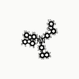 c1ccc2c(c1)-c1ccccc1C21c2ccccc2-c2ccc(-c3nc(-c4ccc(-c5cccc6ccccc56)cc4)nc(-c4ccc(-c5cccc6c5sc5ccccc56)cc4)n3)cc21